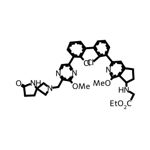 CCOC(=O)CNC1CCc2cc(-c3cccc(-c4cccc(-c5cnc(CN6CC7(CCC(=O)N7)C6)c(OC)n5)c4Cl)c3Cl)nc(OC)c21